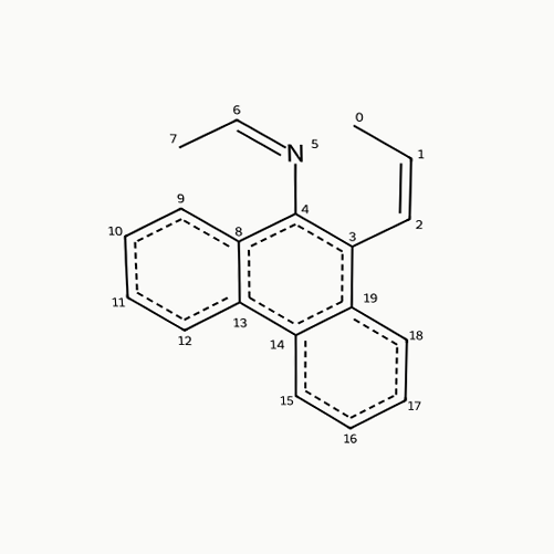 C/C=C\c1c(/N=C\C)c2ccccc2c2ccccc12